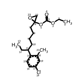 CCOC(=O)OC1(CCCCC(CC)c2ccc(Cl)cc2C)CO1